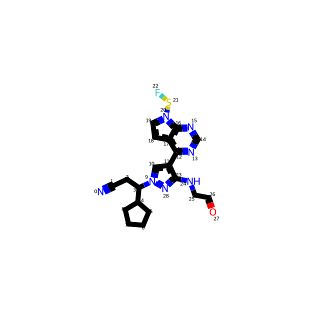 N#CCC(C1CCCC1)n1cc(-c2ncnc3c2ccn3SF)c(NCC=O)n1